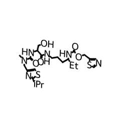 CCC(CCCNC(=O)C(CO)NC(=O)N(C)Cc1csc(C(C)C)n1)NC(=O)OCc1cncs1